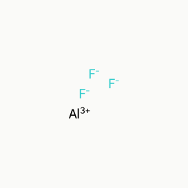 [Al+3].[F-].[F-].[F-]